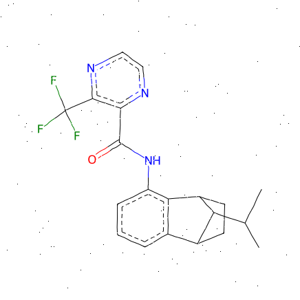 CC(C)C1C2CCC1c1c(NC(=O)c3nccnc3C(F)(F)F)cccc12